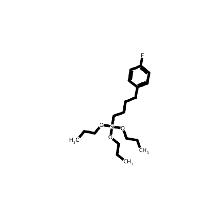 CCCO[Si](CCCCc1ccc(F)cc1)(OCCC)OCCC